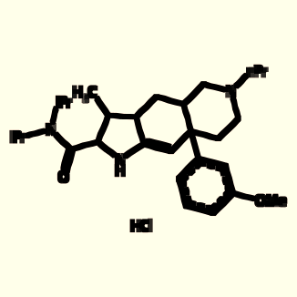 CCCN1CCC2(c3cccc(OC)c3)C=C3NC(C(=O)N(C(C)C)C(C)C)C(C)C3CC2C1.Cl